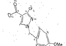 COc1ccc(Cn2cc(C(=O)Cl)c(C(F)(F)F)n2)cc1